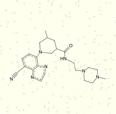 CC1CC(C(=O)NCCN2CCN(C)CC2)CN(c2ccc(C#N)c3nccnc23)C1